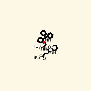 CC(C)(C)OC(=O)CC[C@H](NC1CCCCO1)C(=O)N[C@@H](CC(=O)NC(c1ccccc1)(c1ccccc1)c1ccccc1)C(=O)O